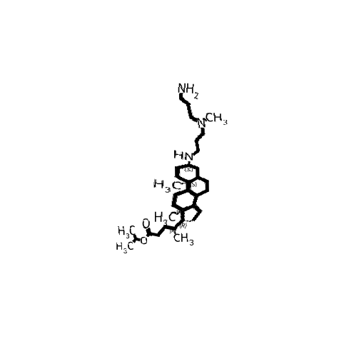 CC(C)OC(=O)CC[C@@H](C)[C@H]1CCC2C3CCC4C[C@@H](NCCCN(C)CCCN)CC[C@]4(C)C3CC[C@@]21C